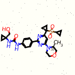 C[C@H]1COCCN1c1cc(C2(S(=O)(=O)C3CC3)CC2)nc(-c2ccc(NC(=O)NC3(CO)CC3)cc2)n1